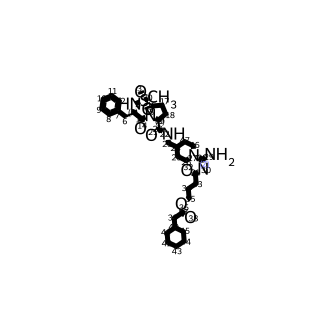 CS(=O)(=O)N[C@H](Cc1ccccc1)C(=O)N1CCC[C@H]1C(=O)NCC1CCN(/C(N)=N\C(=O)CCCOC(=O)CC2CCCCC2)CC1